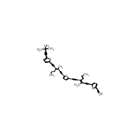 C#Cc1ccc(C#C/C(C)=C(/C#Cc2ccc(C#C/C(C)=C(/C#Cc3ccc(C#CC(C)(C)O)s3)CCC)s2)CCC)s1